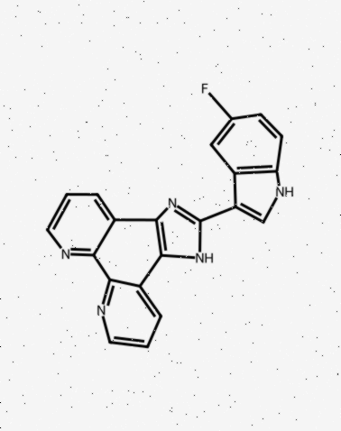 Fc1ccc2[nH]cc(-c3nc4c5cccnc5c5ncccc5c4[nH]3)c2c1